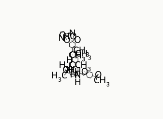 C=C(C)[C@@H]1CC[C@]2(NCC[C@]3(O)CC[C@H](C(C)=O)CC3)CC[C@]3(C)[C@H](CC[C@@H]4[C@@]5(C)CC=C(C6=CC[C@](COc7ncccc7C#N)(C(=O)O)CC6)C(C)(C)[C@@H]5CC[C@]43C)[C@@H]12